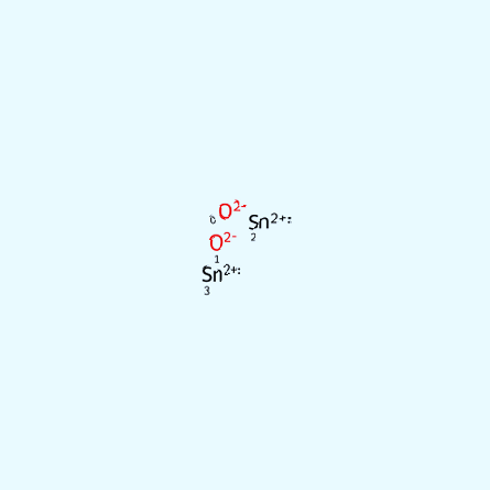 [O-2].[O-2].[Sn+2].[Sn+2]